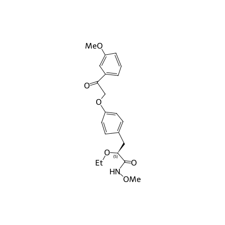 CCO[C@@H](Cc1ccc(OCC(=O)c2cccc(OC)c2)cc1)C(=O)NOC